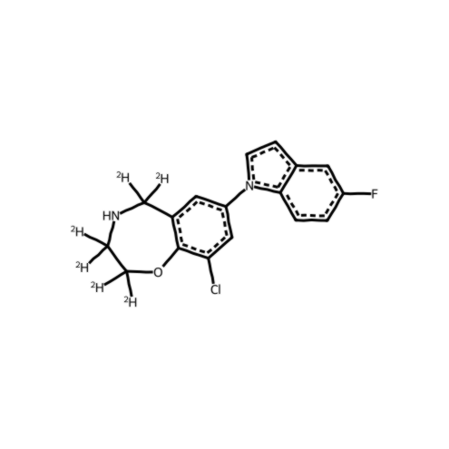 [2H]C1([2H])NC([2H])([2H])C([2H])([2H])Oc2c(Cl)cc(-n3ccc4cc(F)ccc43)cc21